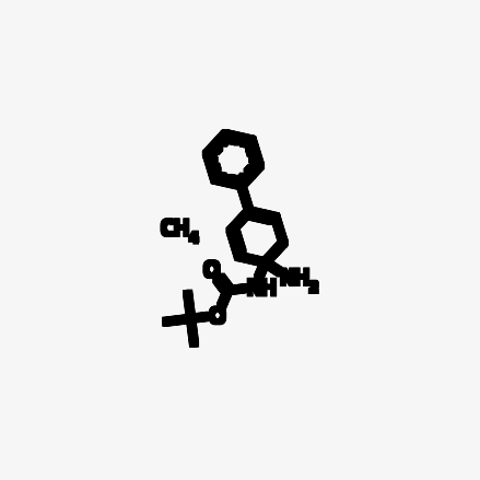 C.CC(C)(C)OC(=O)NC1(N)C=CC(c2ccccc2)=CC1